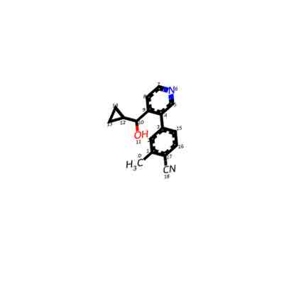 Cc1cc(-c2cnccc2C(O)C2CC2)ccc1C#N